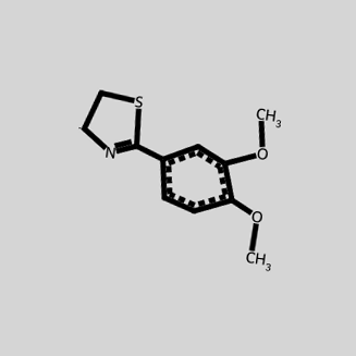 COc1ccc(C2=N[CH]CS2)cc1OC